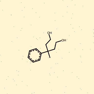 CC(CCO)(CCO)c1ccccc1